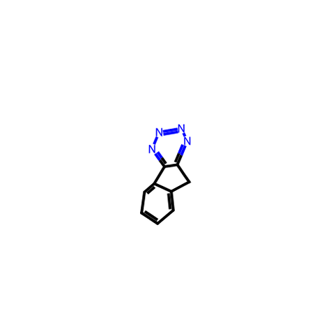 c1ccc2c(c1)Cc1nnnnc1-2